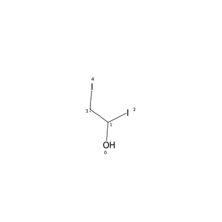 OC(I)[CH]I